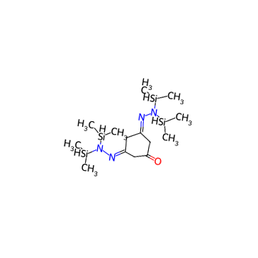 C[SiH](C)N(N=C1CC(=O)CC(=NN([SiH](C)C)[SiH](C)C)C1)[SiH](C)C